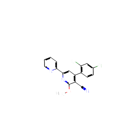 COc1nc(-c2ccccn2)cc(-c2ccc(Cl)cc2Cl)c1C#N